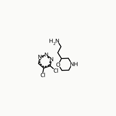 Clc1cnnnc1Cl.NCCC1CNCCO1